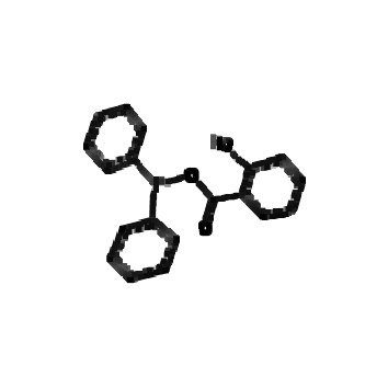 O=C(O[I+](c1ccccc1)c1ccccc1)c1ccccc1O